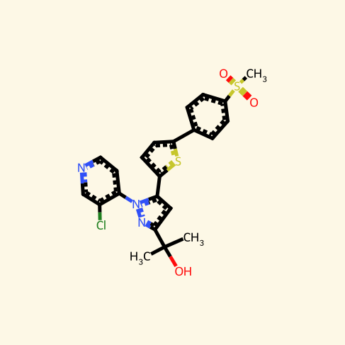 CC(C)(O)c1cc(-c2ccc(-c3ccc(S(C)(=O)=O)cc3)s2)n(-c2ccncc2Cl)n1